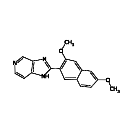 COc1ccc2cc(-c3nc4cnccc4[nH]3)c(OC)cc2c1